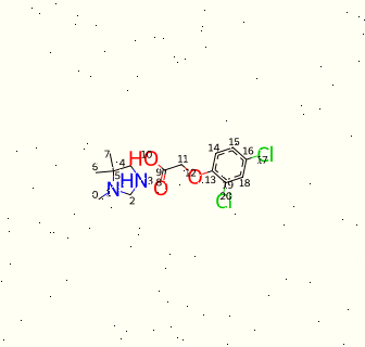 CN1CNCC1(C)C.O=C(O)COc1ccc(Cl)cc1Cl